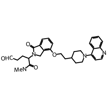 CNC(=O)C(CCC=O)N1Cc2c(OCCC3CCN(c4ccnc5ccccc45)CC3)cccc2C1=O